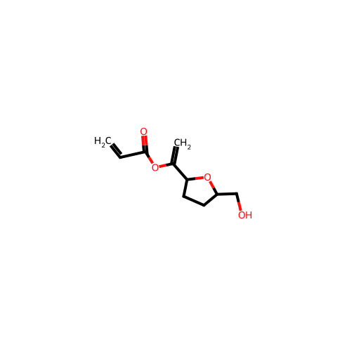 C=CC(=O)OC(=C)C1CCC(CO)O1